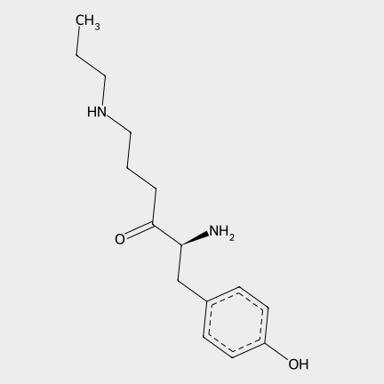 CCCNCCCC(=O)[C@@H](N)Cc1ccc(O)cc1